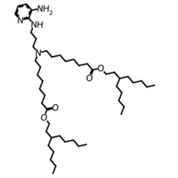 CCCCCC(CCCCC)CCOC(=O)CCCCCCCN(CCCCCCCC(=O)OCCC(CCCCC)CCCCC)CCCNc1ncccc1N